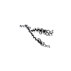 CCCCCCCCC(CC)OC(=O)CCCCCCCN(CCCCCCCC(=O)OC(CCCCCCCC)CCCCCCCC)CCCN/C=N/SC